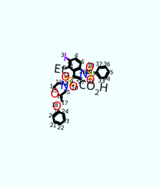 CCc1c(I)ccc2c1c(S(=O)(=O)N1CCOC(COc3ccccc3)C1)c(C(=O)O)n2S(=O)(=O)c1ccccc1